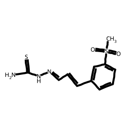 CS(=O)(=O)c1cccc(C=CC=NNC(N)=S)c1